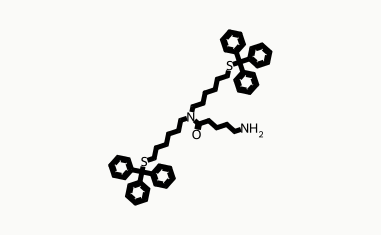 NCCCCC(=O)N(CCCCCCSC(c1ccccc1)(c1ccccc1)c1ccccc1)CCCCCCSC(c1ccccc1)(c1ccccc1)c1ccccc1